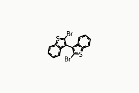 Brc1sc2ccccc2c1-c1c(Br)sc2ccccc12